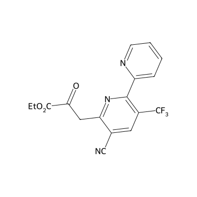 CCOC(=O)C(=O)Cc1nc(-c2ccccn2)c(C(F)(F)F)cc1C#N